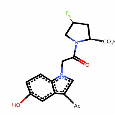 CC(=O)c1cn(CC(=O)N2C[C@H](F)C[C@H]2C(=O)O)c2ccc(O)cc12